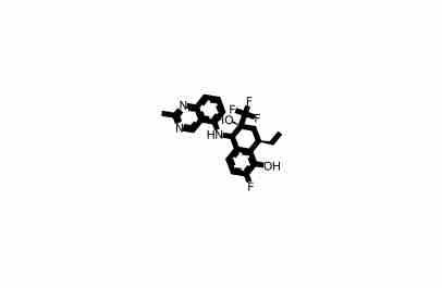 CC[C@@H]1C[C@](O)(C(F)(F)F)C(Nc2cccc3nc(C)ncc23)c2ccc(F)c(O)c21